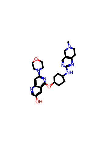 CN1CCc2nc(NC3CCC(Oc4nc(N5CCOCC5)cc5ncc(O)cc45)CC3)ncc2C1